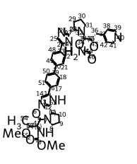 COC(=O)N[C@H](C(=O)N1CCC[C@H]1c1ncc(-c2ccc(-c3ccc(-c4cnc([C@@H]5CCCN5C(=O)[C@H](Cc5ccncc5)OC(N)=O)[nH]4)cc3)cc2)[nH]1)[C@@H](C)OC